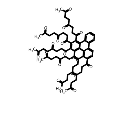 CC(=O)CCC(=O)CCC(=O)c1ccc2c3ccccc3c3c(C(=O)CCC(=O)CCC(C)=O)c(C(=O)CCC(=O)CCC(C)=O)c(C(=O)CCC(=O)CCC(C)=O)c(C(=O)CCC(=O)CCC(C)=O)c3c2c1C(=O)CCC(=O)CCC(C)=O